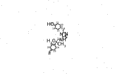 CC(C)(CNc1nc(Cc2ccc(O)cc2)ns1)c1ccc(F)cc1